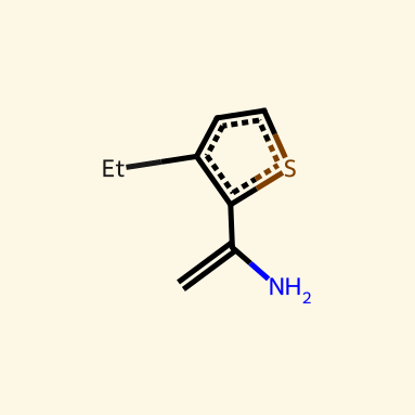 C=C(N)c1sccc1CC